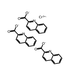 O=C([O-])c1ccc2ccccc2n1.O=C([O-])c1ccc2ccccc2n1.O=C([O-])c1ccc2ccccc2n1.[Cr+3]